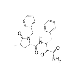 C[C@H]1C[C@@H](C(=O)NC(Cc2ccccc2)C(=O)C(N)=O)N(Cc2ccccc2)C1=O